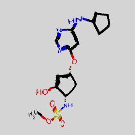 COS(=O)(=O)N[C@H]1C[C@@H](Oc2cc(NC3CCCC3)ncn2)C[C@@H]1O